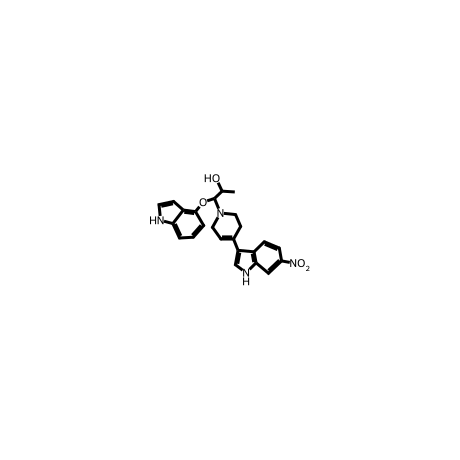 CC(O)C(Oc1cccc2[nH]ccc12)N1CC=C(c2c[nH]c3cc([N+](=O)[O-])ccc23)CC1